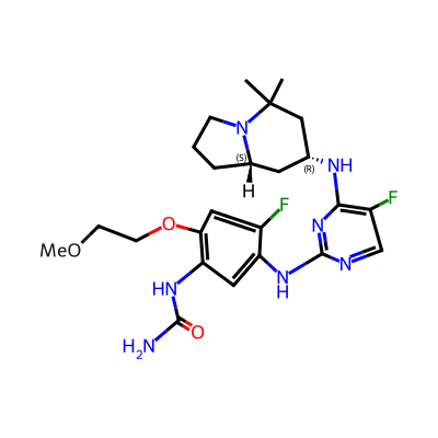 COCCOc1cc(F)c(Nc2ncc(F)c(N[C@@H]3C[C@@H]4CCCN4C(C)(C)C3)n2)cc1NC(N)=O